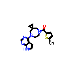 N#Cc1ccc(C(=O)N2CCN(c3ncnc4[nH]ccc34)CC3(CC3)C2)s1